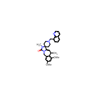 COc1cc2c(c(OC)c1)C(C)C=C1N(C2)C(=O)N(C)C12CCN(Cc1cccc3cccnc13)CC2